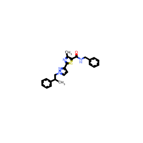 Cc1nc(-c2ccn(CC(C)c3ccccc3)n2)sc1C(=O)NCc1ccccc1